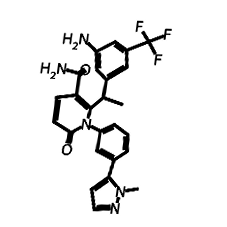 CC(c1cc(N)cc(C(F)(F)F)c1)c1c(C(N)=O)ccc(=O)n1-c1cccc(-c2ccnn2C)c1